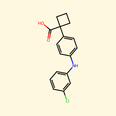 O=C(O)C1(c2ccc(Nc3cccc(Cl)c3)cc2)CCC1